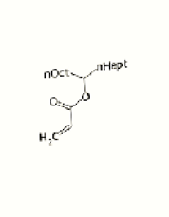 C=CC(=O)OC(CCCCCCC)CCCCCCCC